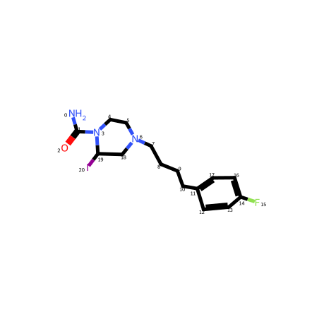 NC(=O)N1CCN(CCCCc2ccc(F)cc2)CC1I